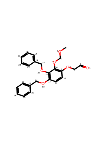 COCOc1c(OCC=O)ccc(OCc2ccccc2)c1OCc1ccccc1